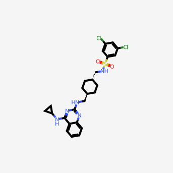 O=S(=O)(NC[C@H]1CC[C@H](CNc2nc(NC3CC3)c3ccccc3n2)CC1)c1cc(Cl)cc(Cl)c1